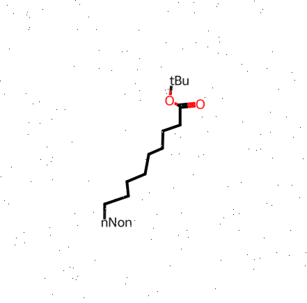 CCCCCCCCCCCCCCCCCC(=O)OC(C)(C)C